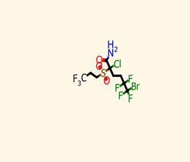 NC(=O)C(Cl)(CCC(F)(F)C(F)(F)Br)S(=O)(=O)CCC(F)(F)F